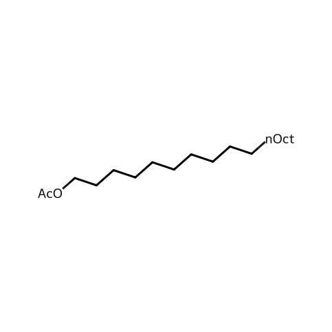 CCCCCCCCCCCCCCCCCCOC(C)=O